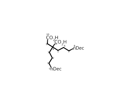 CCCCCCCCCCCCCC(CCCCCCCCCCCCC)(CC(=O)O)C(=O)O